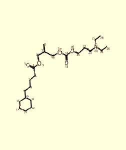 [CH2]C(COC(=O)CCCCC1CCCCC1)COC(=O)OCCCN(CC)CC